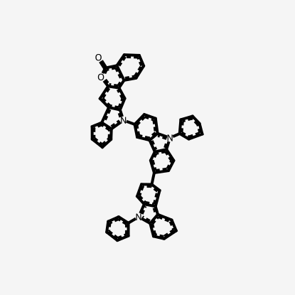 O=c1oc2cc3c4ccccc4n(-c4ccc5c(c4)c4cc(-c6ccc7c(c6)c6ccccc6n7-c6ccccc6)ccc4n5-c4ccccc4)c3cc2c2ccccc12